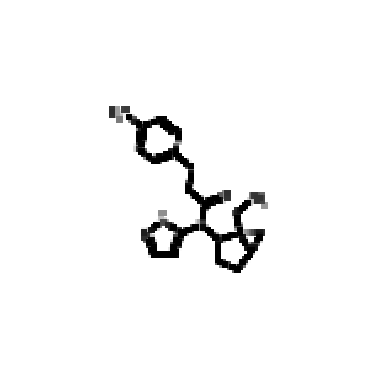 CCC12CC1CCC2N(C(=O)CCc1ccc(C)cc1)c1ccn[nH]1